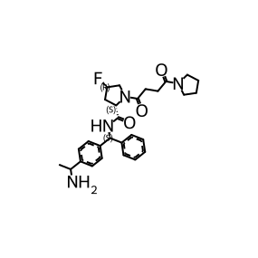 CC(N)c1ccc([C@@H](NC(=O)[C@@H]2C[C@@H](F)CN2C(=O)CCC(=O)N2CCCC2)c2ccccc2)cc1